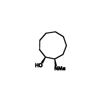 CN[C@@H]1CCCCCCC[C@@H]1O